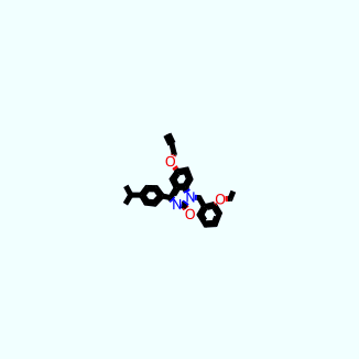 C#CCOc1ccc2c(c1)c(-c1ccc(C(C)C)cc1)nc(=O)n2Cc1ccccc1OCC